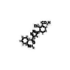 CCc1c(C(=O)O)cccc1-n1cc(C(=O)c2ccccc2N)nn1